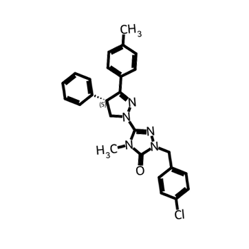 Cc1ccc(C2=NN(c3nn(Cc4ccc(Cl)cc4)c(=O)n3C)C[C@@H]2c2ccccc2)cc1